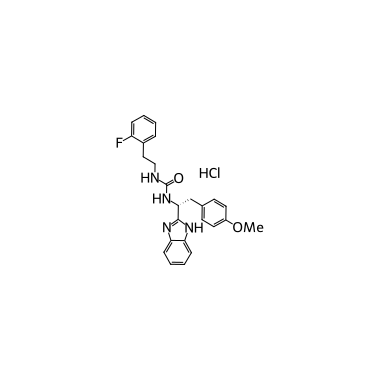 COc1ccc(C[C@@H](NC(=O)NCCc2ccccc2F)c2nc3ccccc3[nH]2)cc1.Cl